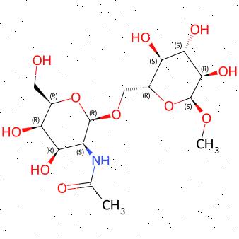 CO[C@H]1O[C@H](CO[C@@H]2O[C@H](CO)[C@H](O)[C@H](O)[C@@H]2NC(C)=O)[C@@H](O)[C@H](O)[C@H]1O